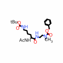 CC(=O)N[C@@H](CCCCNC(=O)OC(C)(C)C)C(=O)NCCN(C)C(=O)OCc1ccccc1